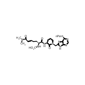 CCCCCc1ncnc2[nH]c(Cn3cccc(NC(=O)[C@H](CC/C=C/C(=O)N(C)C)NC(=O)O)c3=O)nc12